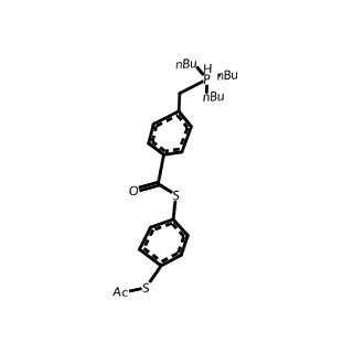 CCCC[PH](CCCC)(CCCC)Cc1ccc(C(=O)Sc2ccc(SC(C)=O)cc2)cc1